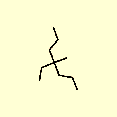 [CH2]CCC(C)(CC)CCC